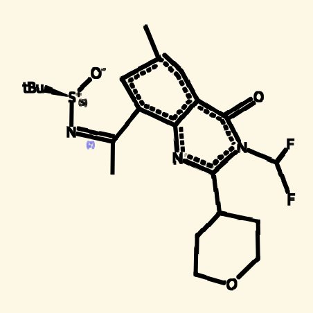 C/C(=N/[S@+]([O-])C(C)(C)C)c1cc(C)cc2c(=O)n(C(F)F)c(C3CCOCC3)nc12